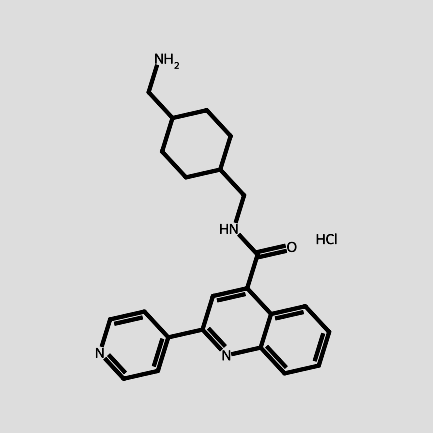 Cl.NCC1CCC(CNC(=O)c2cc(-c3ccncc3)nc3ccccc23)CC1